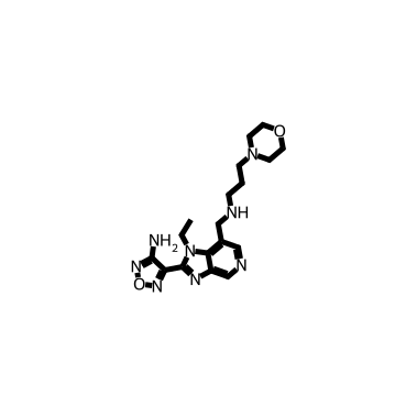 CCn1c(-c2nonc2N)nc2cncc(CNCCCN3CCOCC3)c21